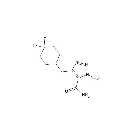 CC(C)n1nnc(CC2CCC(F)(F)CC2)c1C(N)=O